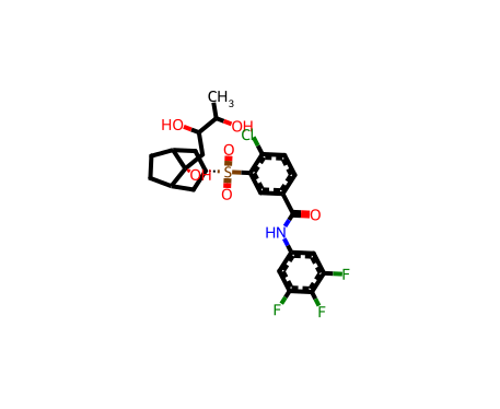 CC(O)C(O)C[C@]1(O)C2CCC1C[C@@H](S(=O)(=O)c1cc(C(=O)Nc3cc(F)c(F)c(F)c3)ccc1Cl)C2